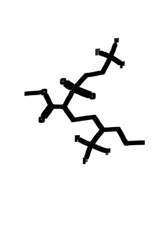 CCCC(CCC(C(=O)OC)S(=O)(=O)CCC(F)(F)F)C(F)(F)F